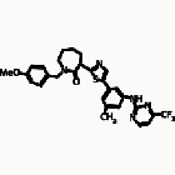 COc1ccc(CN2CCCCC(c3ncc(-c4cc(C)cc(Nc5nccc(C(F)(F)F)n5)c4)s3)C2=O)cc1